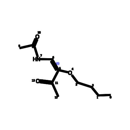 CCCCO/C(=C/NC(C)=O)C(C)=O